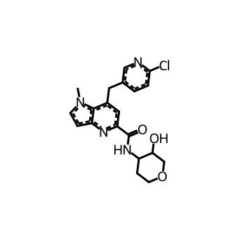 Cn1ccc2nc(C(=O)NC3CCOCC3O)cc(Cc3ccc(Cl)nc3)c21